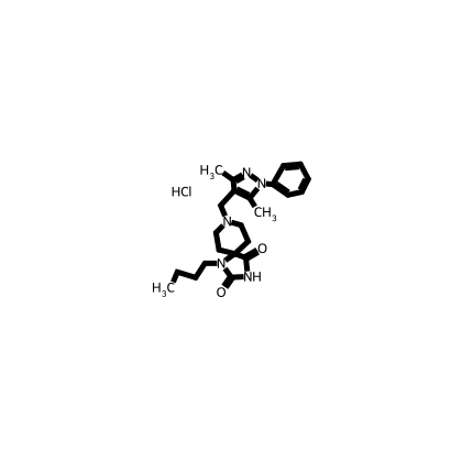 CCCCN1C(=O)NC(=O)C12CCN(Cc1c(C)nn(-c3ccccc3)c1C)CC2.Cl